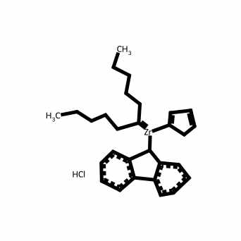 CCCCC[C](CCCCC)=[Zr]([C]1=CC=CC1)[CH]1c2ccccc2-c2ccccc21.Cl